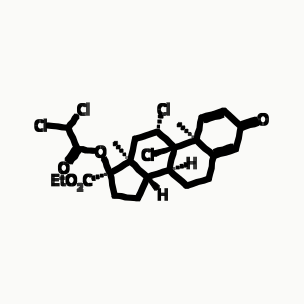 CCOC(=O)[C@@]1(OC(=O)C(Cl)Cl)CC[C@H]2[C@@H]3CCC4=CC(=O)C=C[C@]4(C)[C@@]3(Cl)[C@@H](Cl)C[C@@]21C